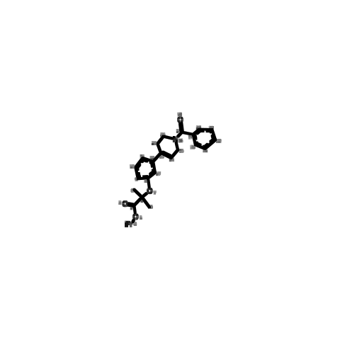 CC(C)OC(=O)C(C)(C)Oc1cccc(C2=CCN(C(=O)c3ccccc3)CC2)c1